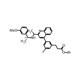 COc1cccc([C@@H](C)NC(C)c2cc(-c3cc(F)cc(CCC(=O)OC(C)C)c3)c3ccccc3n2)c1